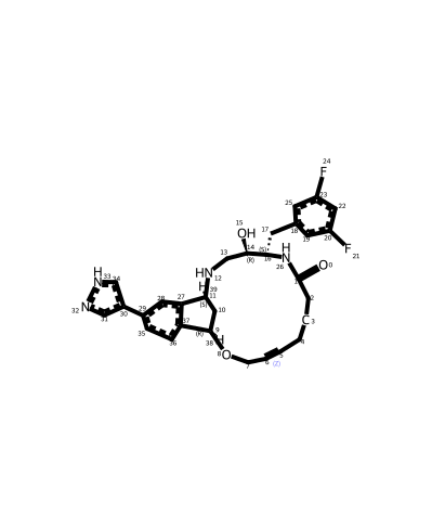 O=C1CCC/C=C\CO[C@@H]2C[C@H](NC[C@@H](O)[C@H](Cc3cc(F)cc(F)c3)N1)c1cc(-c3cn[nH]c3)ccc12